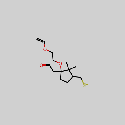 C=COCCOC1(CC=O)CCC(CS)C1(C)C